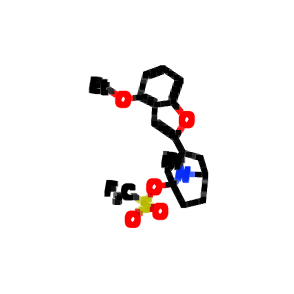 CCOc1cccc2oc(C3CC4CCC(OS(=O)(=O)C(F)(F)F)(C3)N4C(C)C)cc12